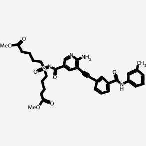 COC(=O)CCCCS(=O)(CCCCC(=O)OC)=NC(=O)c1cnc(N)c(C#Cc2cccc(C(=O)Nc3cccc(C)c3)c2)c1